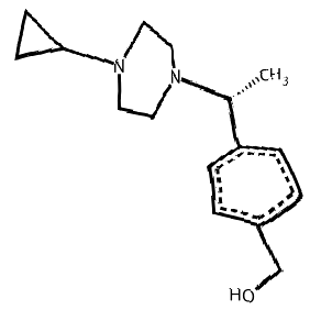 C[C@H](c1ccc(CO)cc1)N1CCN(C2CC2)CC1